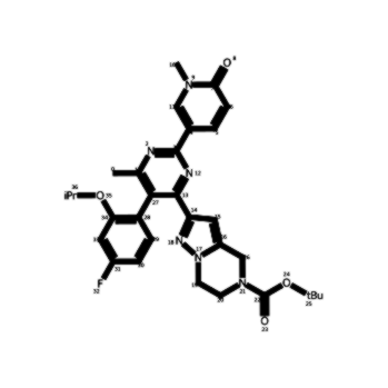 Cc1nc(-c2ccc(=O)n(C)c2)nc(-c2cc3n(n2)CCN(C(=O)OC(C)(C)C)C3)c1-c1ccc(F)cc1OC(C)C